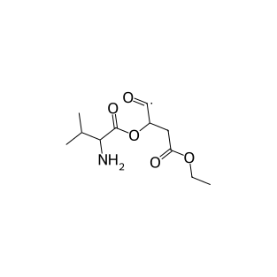 CCOC(=O)CC([C]=O)OC(=O)C(N)C(C)C